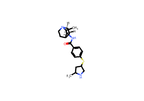 C[C@H]1[C@H](NC(=O)c2ccc(SC3CNC(C(F)(F)F)C3)cc2)C2CCN1CC2